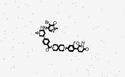 CN1C[C@H](Nc2cnn(C)c(=O)c2Br)C[C@H](c2ccc(C(=O)N3CCC4(CC3)CCN(c3ccc(C5CCC(=O)NC5=O)c(F)c3)CC4)cc2)C1